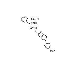 COc1ccc(-c2ccc3oc(COC(=O)N[C@H](Cc4ccccc4)C(=O)O)cc3c2)cc1